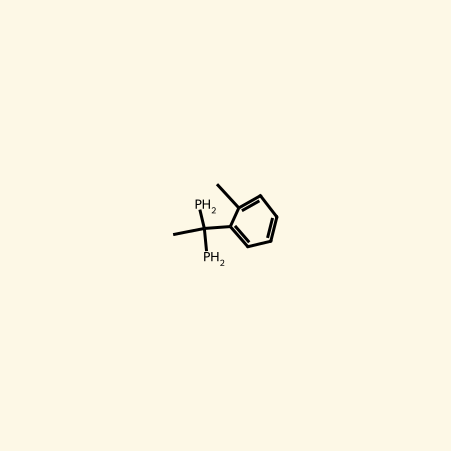 Cc1ccccc1C(C)(P)P